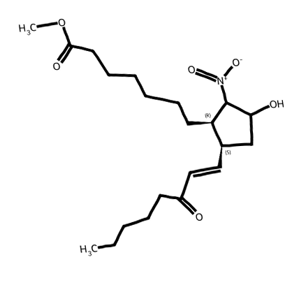 CCCCCC(=O)C=C[C@@H]1CC(O)C([N+](=O)[O-])[C@@H]1CCCCCCC(=O)OC